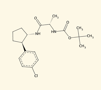 C[C@H](NC(=O)OC(C)(C)C)C(=O)N[C@H]1CCC[C@@H]1c1ccc(Cl)cc1